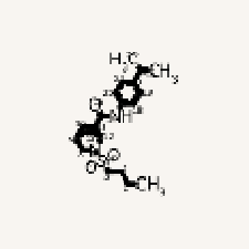 CCCCS(=O)(=O)N1CC2CCC1C(C(=O)Nc1ccc(C(C)C)cc1)C2